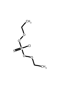 CCOOP(=S)(Cl)OOCC